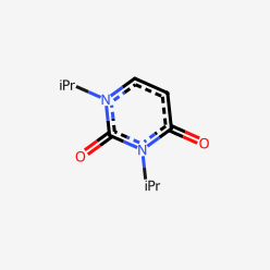 CC(C)n1ccc(=O)n(C(C)C)c1=O